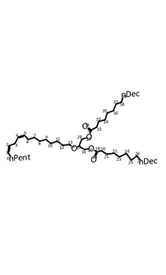 CCCCC/C=C\C/C=C\CCCCCCCCOC(COC(=O)CCCCCCCCCCCCCCCCC)COC(=O)CCCCCCCCCCCCCCCCC